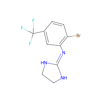 FC(F)(F)c1ccc(Br)c(N=C2NCCN2)c1